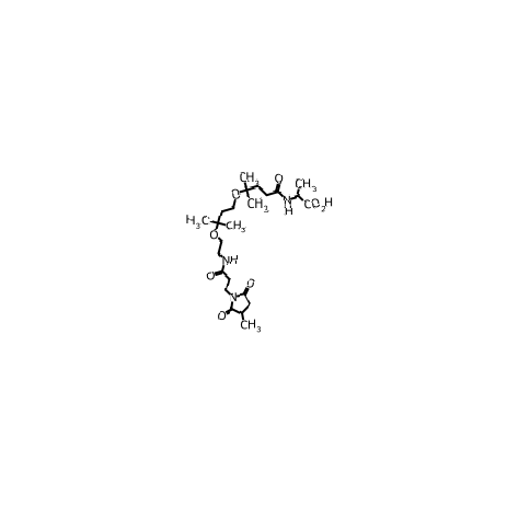 CC1CC(=O)N(CCC(=O)NCCOC(C)(C)CCOC(C)(C)CCC(=O)NC(C)C(=O)O)C1=O